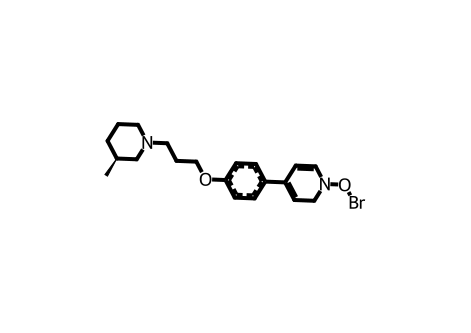 C[C@H]1CCCN(CCCOc2ccc(C3=CCN(OBr)C=C3)cc2)C1